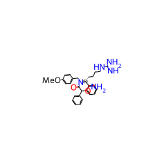 COc1ccc(CN(C(=O)C(c2ccccc2)c2ccccc2)[C@H](CCCCNC(=N)N)C(N)=O)cc1